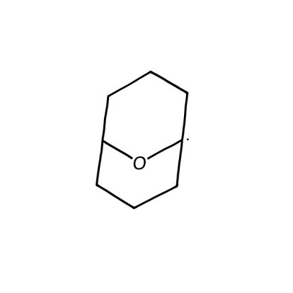 C1C[C]2CCCC(C1)O2